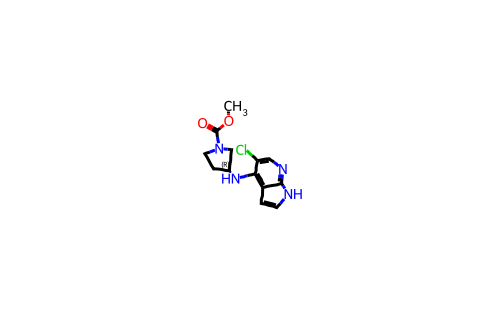 COC(=O)N1CC[C@@H](Nc2c(Cl)cnc3[nH]ccc23)C1